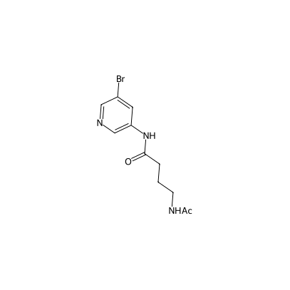 CC(=O)NCCCC(=O)Nc1cncc(Br)c1